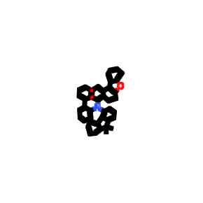 CC1(C)c2ccccc2-c2c(N(c3ccccc3-c3ccccc3)c3cccc4c3ccc3oc5ccccc5c34)cccc21